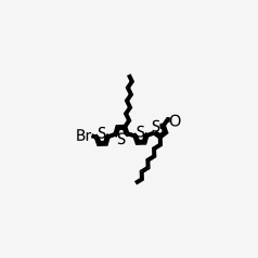 CCCCCCCCc1cc(C=O)sc1-c1ccc(-c2sc(-c3ccc(Br)s3)cc2CCCCCCCC)s1